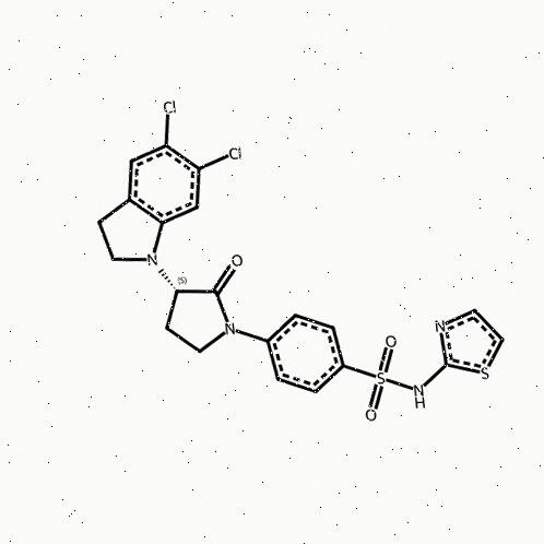 O=C1[C@@H](N2CCc3cc(Cl)c(Cl)cc32)CCN1c1ccc(S(=O)(=O)Nc2nccs2)cc1